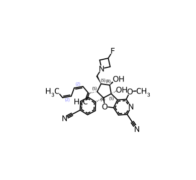 C=C(/C=C\C=C/C)[C@@H]1[C@@H](CN2CC(F)C2)[C@@H](O)[C@@]2(O)c3c(cc(C#N)nc3OC)O[C@@]12c1ccc(C#N)cc1